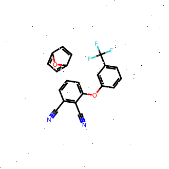 N#Cc1cccc(Oc2cccc(C(F)(F)F)c2)c1C#N.c1cc2ccc1o2